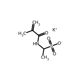 C=C(C)C(=O)NC(C)S(=O)(=O)[O-].[K+]